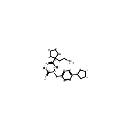 NCCC1(C(=O)N[C@@H](Cc2ccc(C3CCCC3)cc2)C(=O)O)CCCC1